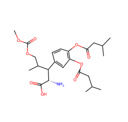 COC(=O)OCC(C)C(c1ccc(OC(=O)CC(C)C)c(OC(=O)CC(C)C)c1)[C@H](N)C(=O)O